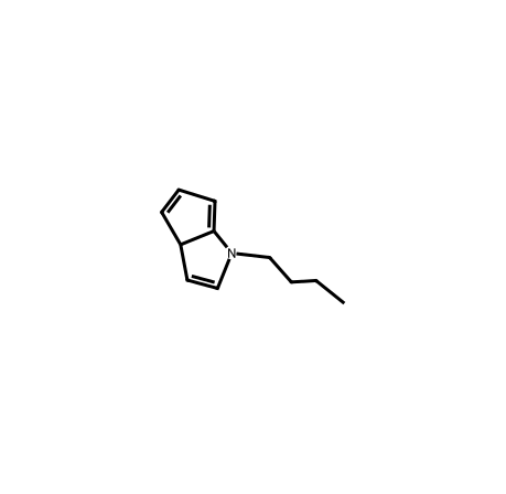 CCCCN1C=CC2C=CC=C21